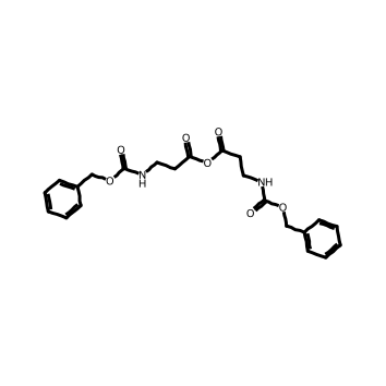 O=C(CCNC(=O)OCc1ccccc1)OC(=O)CCNC(=O)OCc1ccccc1